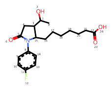 CC(O)C1CC(=O)N(c2ccc(F)cc2)C1CCCCCCC(=O)O